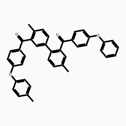 Cc1ccc(Oc2ccc(C(=O)c3cc(-c4ccc(C)cc4C(=O)c4ccc(Oc5ccccc5)cc4)ccc3C)cc2)cc1